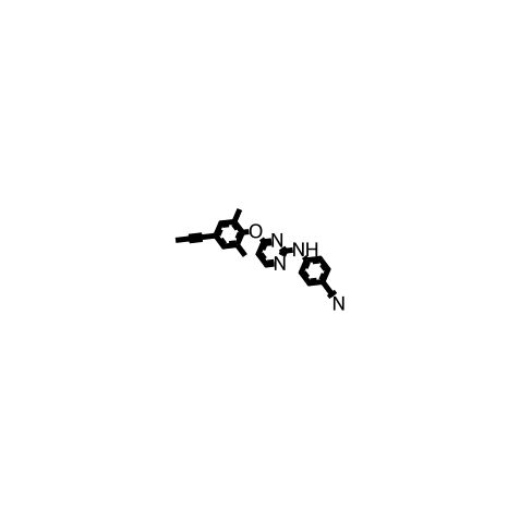 CC#Cc1cc(C)c(Oc2ccnc(Nc3ccc(C#N)cc3)n2)c(C)c1